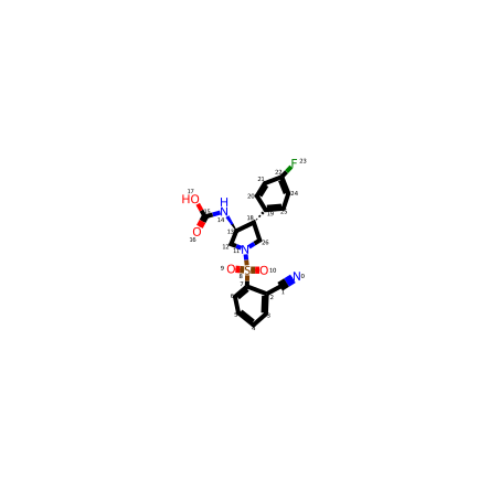 N#Cc1ccccc1S(=O)(=O)N1C[C@@H](NC(=O)O)[C@H](c2ccc(F)cc2)C1